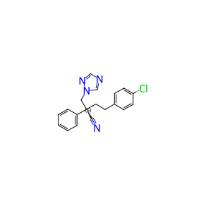 N#C[C@](CCc1ccc(Cl)cc1)(Cn1cncn1)c1ccccc1